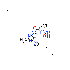 Cc1nc(NNC(=O)[C@@H](CNC(=O)O)CC2CCCC2)c(F)c(N2CCCC2)n1